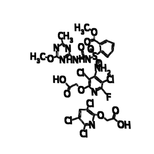 COC(=O)c1ccccc1S(=O)(=O)NC(=O)Nc1nc(C)nc(OC)n1.Nc1c(Cl)c(F)nc(OCC(=O)O)c1Cl.O=C(O)COc1nc(Cl)c(Cl)cc1Cl